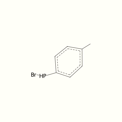 Cc1ccc(PBr)cc1